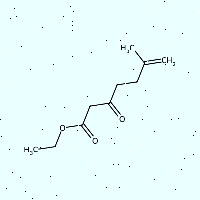 C=C(C)CCC(=O)CC(=O)OCC